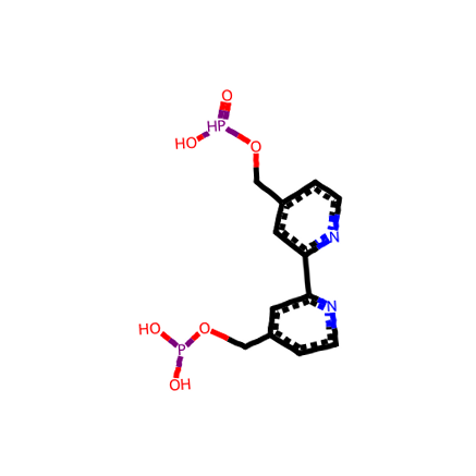 O=[PH](O)OCc1ccnc(-c2cc(COP(O)O)ccn2)c1